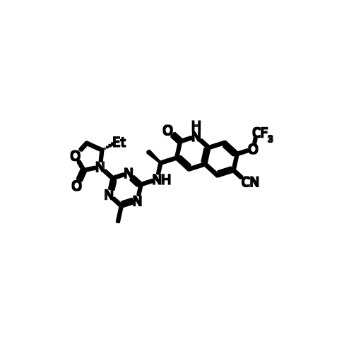 CC[C@H]1COC(=O)N1c1nc(C)nc(N[C@@H](C)c2cc3cc(C#N)c(OC(F)(F)F)cc3[nH]c2=O)n1